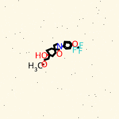 COCCC1(O)CCC2(CCN(c3ccc(OC(F)(F)F)cc3)C2=O)CC1